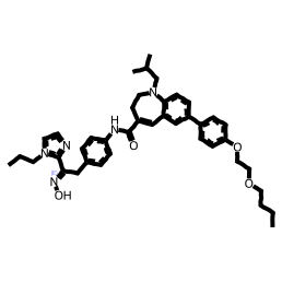 CCCCOCCOc1ccc(-c2ccc3c(c2)C=C(C(=O)Nc2ccc(C/C(=N\O)c4nccn4CCC)cc2)CCN3CC(C)C)cc1